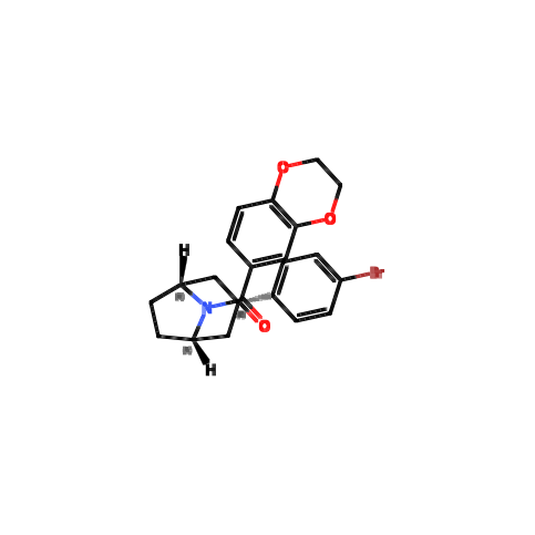 O=C(c1ccc2c(c1)OCCO2)N1[C@@H]2CC[C@H]1C[C@@H](c1ccc(Br)cc1)C2